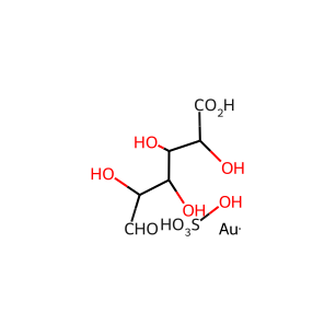 O=CC(O)C(O)C(O)C(O)C(=O)O.O=S(=O)(O)O.[Au]